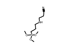 CO[Si](CCCNCCC#N)(OC)OC